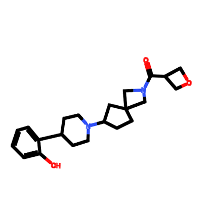 O=C(C1COC1)N1CC2(CCC(N3CCC(c4ccccc4O)CC3)C2)C1